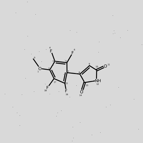 COc1c(F)c(F)c(C2=CC(=O)NC2=O)c(F)c1F